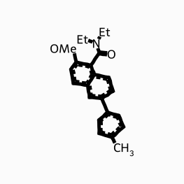 CCN(CC)C(=O)c1c(OC)ccc2cc(-c3ccc(C)cc3)ccc12